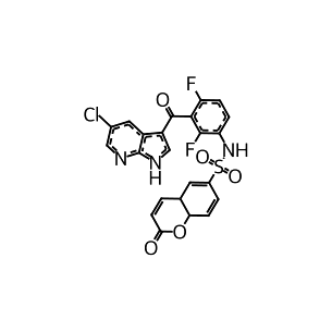 O=C1C=CC2C=C(S(=O)(=O)Nc3ccc(F)c(C(=O)c4c[nH]c5ncc(Cl)cc45)c3F)C=CC2O1